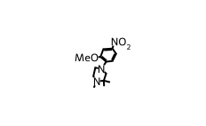 COc1cc([N+](=O)[O-])ccc1N1CCN(C)C(C)(C)C1